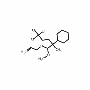 C=CCOC(OC)C(C)(CCC(Cl)(Cl)Cl)C1CCCCC1